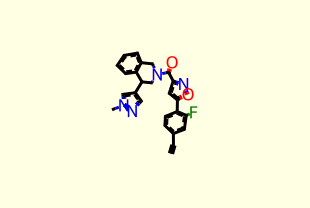 C#Cc1ccc(-c2cc(C(=O)N3Cc4ccccc4C(c4cnn(C)c4)C3)no2)c(F)c1